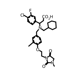 Cc1cc(CN(CC2CCCCC2)C(CC(=O)O)c2ccc(Cl)c(F)c2)ccc1OCCN1C(=O)CN(C)C1=O